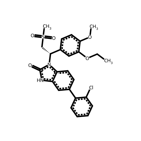 CCOc1cc([C@@H](CS(C)(=O)=O)n2c(=O)[nH]c3cc(-c4ccccc4Cl)ccc32)ccc1OC